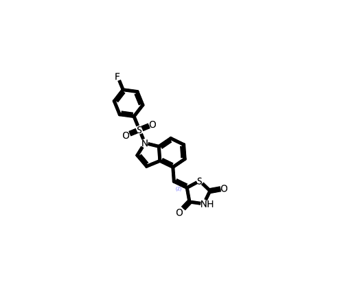 O=C1NC(=O)/C(=C/c2cccc3c2ccn3S(=O)(=O)c2ccc(F)cc2)S1